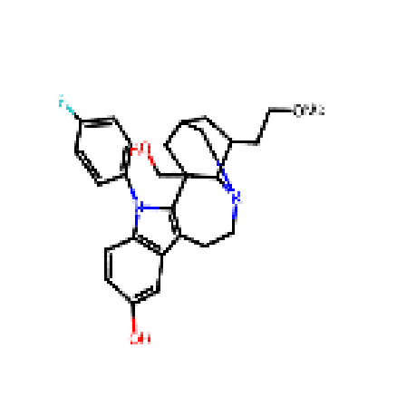 COCCC1CC2CN3CCc4c(n(-c5ccc(F)cc5)c5ccc(O)cc45)C(CO)(C2)C13